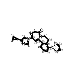 O=C1CN=C(n2cnc(C3CC3)c2)C=C2c3cccc(-n4nccn4)c3CCN12